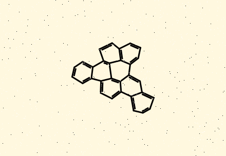 c1ccc2c(c1)cc1c3cccc4ccc5c6ccccc6c6ccc2c1c6c5c43